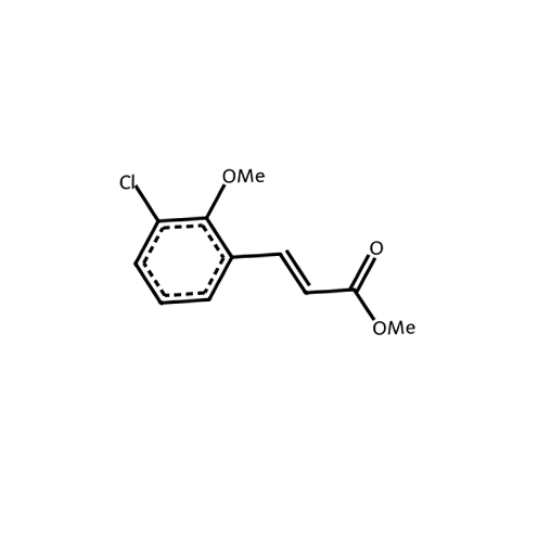 COC(=O)/C=C/c1cccc(Cl)c1OC